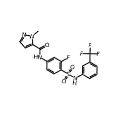 Cn1nccc1C(=O)Nc1ccc(S(=O)(=O)Nc2cccc(C(F)(F)F)c2)c(F)c1